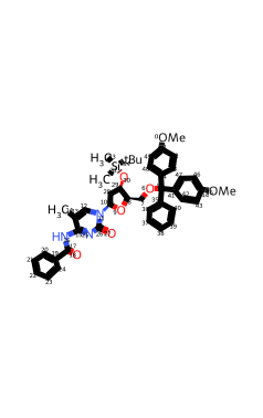 COc1ccc(C(OC[C@H]2O[C@@H](n3cc(C)c(NC(=O)c4ccccc4)nc3=O)C[C@H]2O[Si](C)(C)C(C)(C)C)(c2ccccc2)c2ccc(OC)cc2)cc1